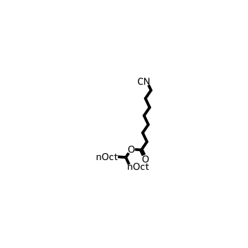 [C-]#[N+]CCCCCCCC(=O)OC(CCCCCCCC)CCCCCCCC